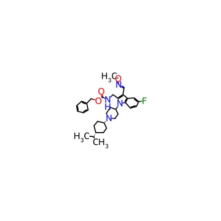 CON=Cc1c(CNC(=O)OCc2ccccc2)n(C2CCN([C@H]3CC[C@@H](C(C)C)CC3)CC2)c2ccc(F)cc12